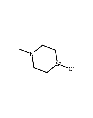 [O-][S+]1CCN(I)CC1